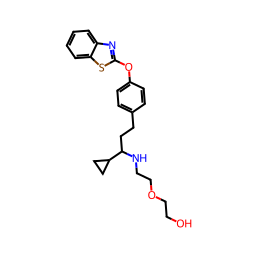 OCCOCCNC(CCc1ccc(Oc2nc3ccccc3s2)cc1)C1CC1